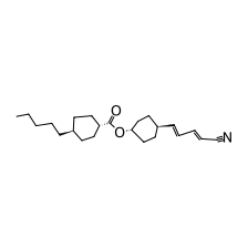 CCCCC[C@H]1CC[C@H](C(=O)O[C@H]2CC[C@H](C=CC=CC#N)CC2)CC1